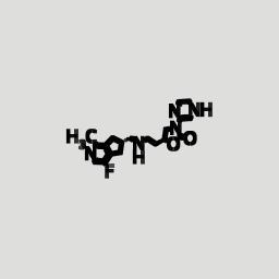 Cc1ncc(F)c2c1C[C@H](CNCC[C@H]1CN(C3=CNCC=N3)C(=O)O1)C2